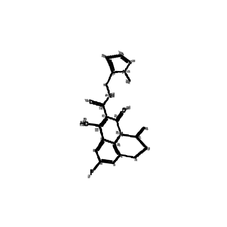 CC1CCc2cc(F)cc3c(O)c(C(=O)NCc4ccnn4C)c(=O)n1c23